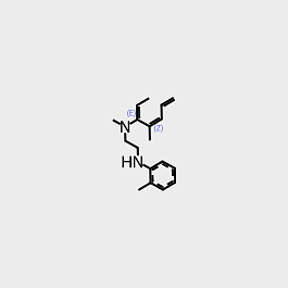 C=C/C=C(C)\C(=C/C)N(C)CCNc1ccccc1C